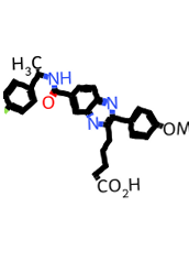 COc1ccc(-c2nc3ccc(C(=O)N[C@H](C)c4ccc(F)cc4)cc3nc2CCCCC(=O)O)cc1